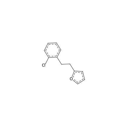 Clc1ccccc1CCc1ccco1